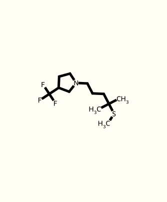 CSC(C)(C)CCCN1CCC(C(F)(F)F)C1